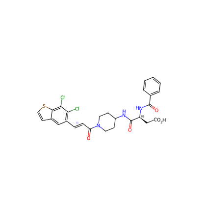 O=C(O)C[C@H](NC(=O)c1ccccc1)C(=O)NC1CCN(C(=O)/C=C/c2cc3ccsc3c(Cl)c2Cl)CC1